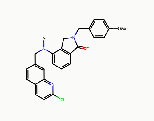 COc1ccc(CN2Cc3c(cccc3N(Cc3ccc4ccc(Cl)nc4c3)C(C)=O)C2=O)cc1